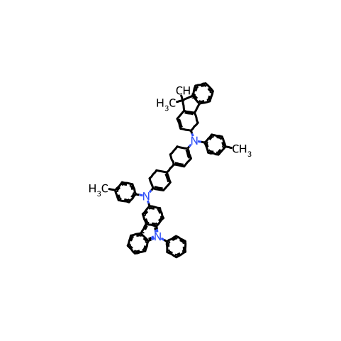 Cc1ccc(N(C2=CC=C(C3=CC=C(N(c4ccc(C)cc4)C4C=CC5=C(C4)c4ccccc4C5(C)C)CC3)CC2)c2ccc3c(c2)c2ccccc2n3-c2ccccc2)cc1